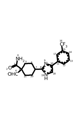 NC(=O)C1([C]=O)CCC(c2nc(-c3cccc(C(F)(F)F)c3)c[nH]2)CC1